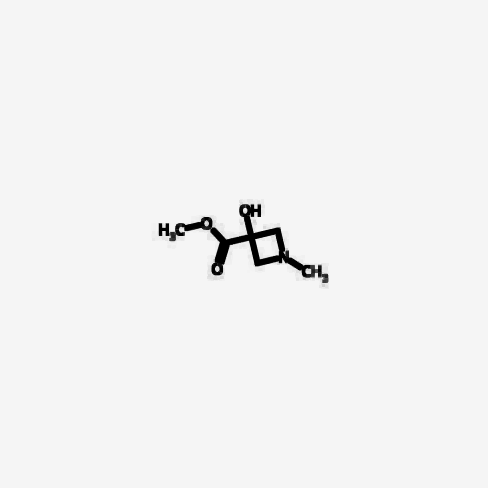 COC(=O)C1(O)CN(C)C1